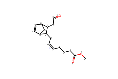 COC(=O)CCC/C=C\CC1C2C=CC(C2)C1CC=O